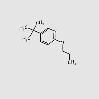 CCCOc1ccc(C(C)(C)C)cn1